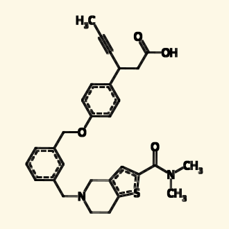 CC#CC(CC(=O)O)c1ccc(OCc2cccc(CN3CCc4sc(C(=O)N(C)C)cc4C3)c2)cc1